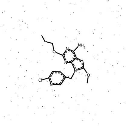 CCCOc1nc(N)c2nc(OC)n(Cc3ccc(Cl)nc3)c2n1